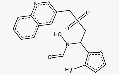 Cc1ccsc1C(CS(=O)(=O)Cc1cnc2ccccc2c1)N(O)C=O